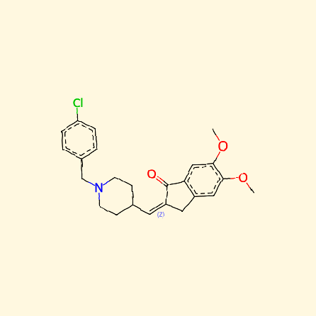 COc1cc2c(cc1OC)C(=O)/C(=C\C1CCN(Cc3ccc(Cl)cc3)CC1)C2